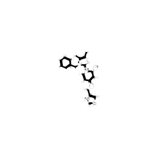 CC1=C(C)N(Cc2ccccc2)C(n2ccc(OCc3cscn3)cc2=O)S1